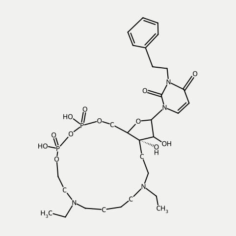 CCN1CCCCN(CC)CC[C@@]2(O)C(COP(=O)(O)OP(=O)(O)OCC1)OC(n1ccc(=O)n(CCc3ccccc3)c1=O)C2O